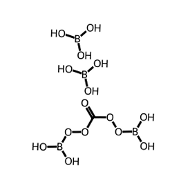 O=C(OOB(O)O)OOB(O)O.OB(O)O.OB(O)O